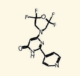 O=c1cc(N2CC(F)(F)OC(F)(F)C2)nc(-c2ccncc2)[nH]1